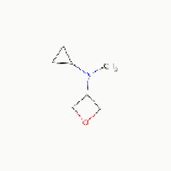 CN(C1CC1)C1COC1